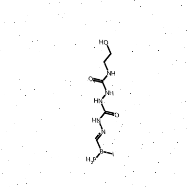 O=C(NCCO)NNC(=O)NN=CB(P)I